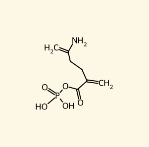 C=C(N)CCC(=C)C(=O)OP(=O)(O)O